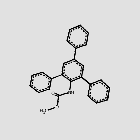 COC(=O)Nc1c(-c2ccccc2)cc(-c2ccccc2)cc1-c1ccccc1